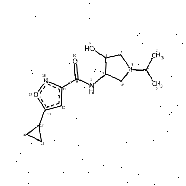 CC(C)N1CC(O)C(NC(=O)c2cc(C3CC3)on2)C1